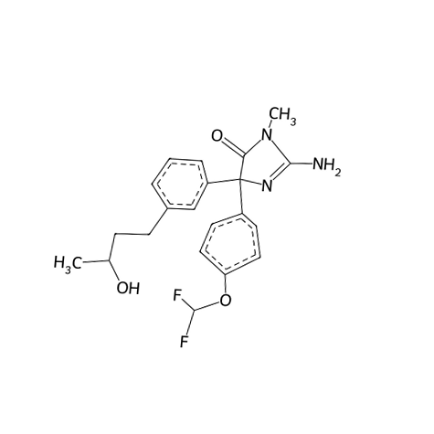 CC(O)CCc1cccc(C2(c3ccc(OC(F)F)cc3)N=C(N)N(C)C2=O)c1